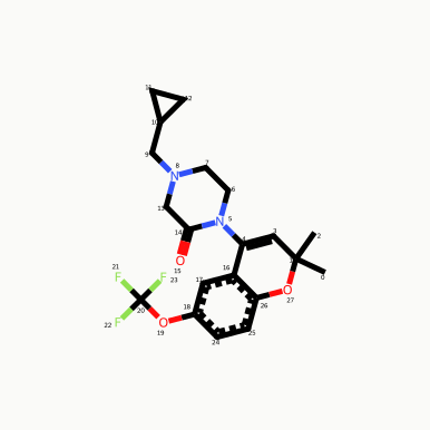 CC1(C)C=C(N2CCN(CC3CC3)CC2=O)c2cc(OC(F)(F)F)ccc2O1